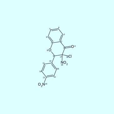 O=C1c2ccccc2OC(c2ccc([N+](=O)[O-])cc2)C1(Cl)[N+](=O)[O-]